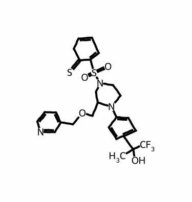 CC(O)(c1ccc(N2CCN(S(=O)(=O)C3=CC=CCC3=S)CC2COCc2cccnc2)cc1)C(F)(F)F